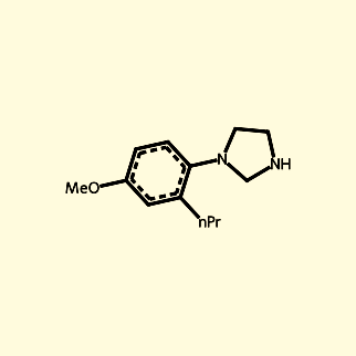 CCCc1cc(OC)ccc1N1CCNC1